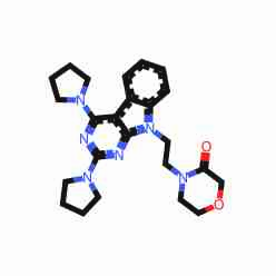 O=C1COCCN1CCn1c2ccccc2c2c(N3CCCC3)nc(N3CCCC3)nc21